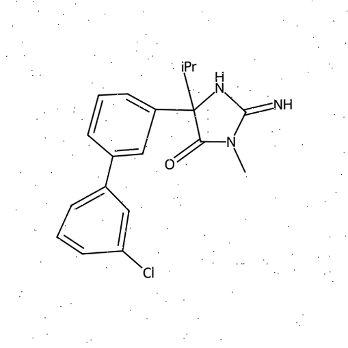 CC(C)C1(c2cccc(-c3cccc(Cl)c3)c2)NC(=N)N(C)C1=O